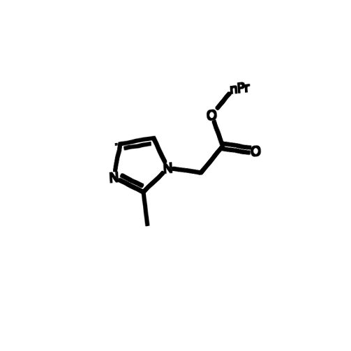 CCCOC(=O)Cn1c[c]nc1C